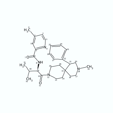 Cc1ccnc(C(=O)N[C@@H](C(=O)N2CCC3(CCN(C)CC3c3ccccc3)CC2)C(C)C)c1